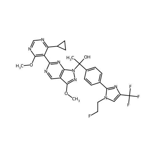 COc1ncnc(C2CC2)c1-c1ncc2c(OC)nn(C(C)(O)c3ccc(-c4nc(C(F)(F)F)cn4CCF)cc3)c2n1